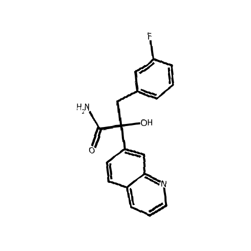 NC(=O)C(O)(Cc1cccc(F)c1)c1ccc2cccnc2c1